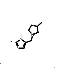 CC1CCN(Cc2cnc[nH]2)C1